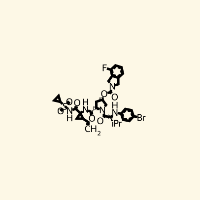 C=CC1CC1(NC(=O)[C@@H]1C[C@@H](OC(=O)N2Cc3cccc(F)c3C2)CN1C(=O)[C@@H](Nc1ccc(Br)cc1)C(C)C)C(=O)NS(=O)(=O)C1CC1